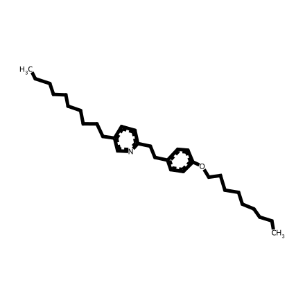 CCCCCCCCCCc1ccc(CCc2ccc(OCCCCCCCCC)cc2)nc1